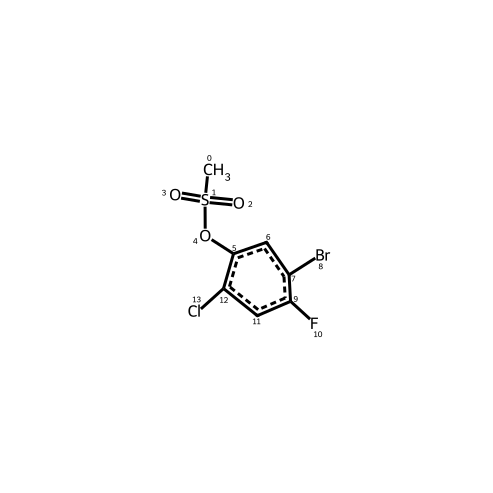 CS(=O)(=O)Oc1cc(Br)c(F)cc1Cl